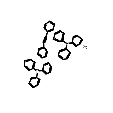 C(#Cc1ccccc1)c1ccccc1.[Pt].c1ccc(P(c2ccccc2)c2ccccc2)cc1.c1ccc(P(c2ccccc2)c2ccccc2)cc1